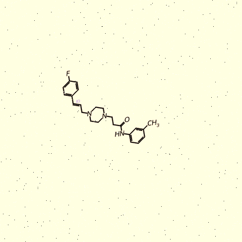 Cc1cccc(NC(=O)CCN2CCN(C/C=C/c3ccc(F)cc3)CC2)c1